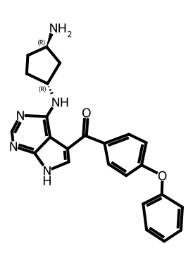 N[C@@H]1CC[C@@H](Nc2ncnc3[nH]cc(C(=O)c4ccc(Oc5ccccc5)cc4)c23)C1